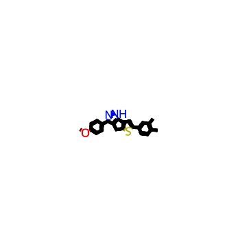 COc1ccc(-c2n[nH]c3c2Cc2sc(-c4ccc(C)c(C)c4)cc2-3)cc1